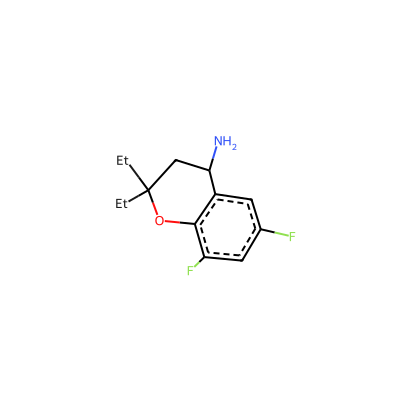 CCC1(CC)CC(N)c2cc(F)cc(F)c2O1